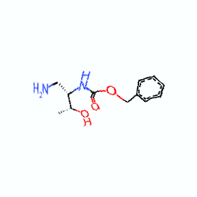 C[C@@H](O)[C@H](CN)NC(=O)OCc1ccccc1